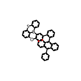 c1ccc(-c2c3ccccc3c(-c3ccccc3-c3ccc4c(c3)B3c5ccccc5Sc5cccc(c53)O4)c3ccccc23)cc1